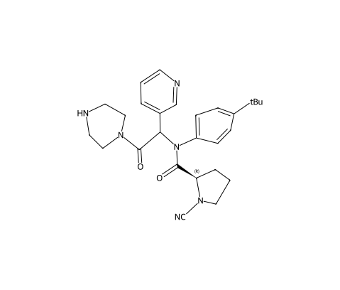 CC(C)(C)c1ccc(N(C(=O)[C@H]2CCCN2C#N)C(C(=O)N2CCNCC2)c2cccnc2)cc1